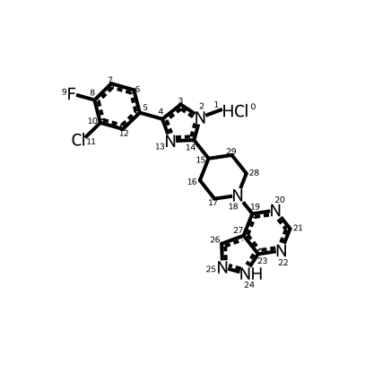 Cl.Cn1cc(-c2ccc(F)c(Cl)c2)nc1C1CCN(c2ncnc3[nH]ncc23)CC1